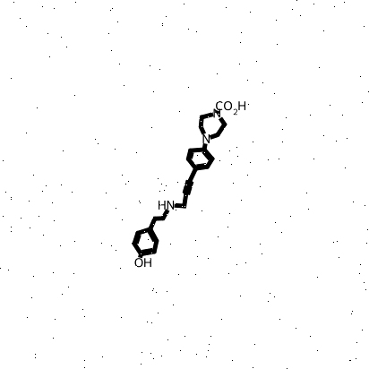 O=C(O)N1CCN(c2ccc(C#CCNCCc3ccc(O)cc3)cc2)CC1